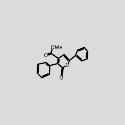 COC(=O)c1cc(-c2ccccc2)oc(=O)c1-c1ccccc1